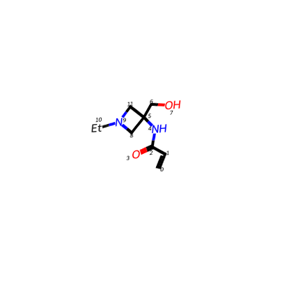 C=CC(=O)NC1(CO)CN(CC)C1